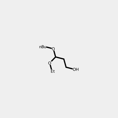 CCCCOC(CCO)OCC